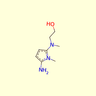 CN(CCO)c1ccc(N)n1C